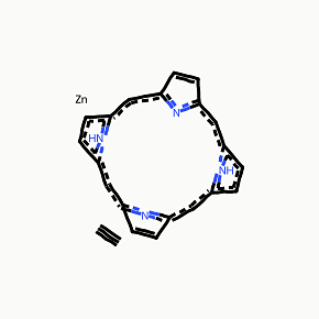 C#C.C1=Cc2cc3ccc(cc4nc(cc5ccc(cc1n2)[nH]5)C=C4)[nH]3.[Zn]